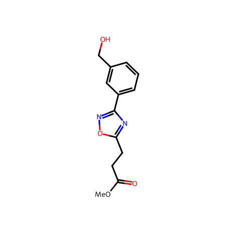 COC(=O)CCc1nc(-c2cccc(CO)c2)no1